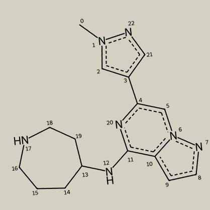 Cn1cc(-c2cn3nccc3c(NC3CCCNCC3)n2)cn1